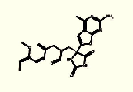 C=C(/C=C\C(=C/C)OC)CN(C=O)C[C@@]1(c2cc3c(C)nc(N)nc3o2)NC(=O)NC1=O